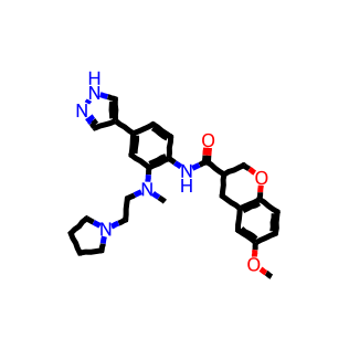 COc1ccc2c(c1)CC(C(=O)Nc1ccc(-c3cn[nH]c3)cc1N(C)CCN1CCCC1)CO2